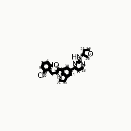 Oc1c(Cc2ccccc2Cl)n2c3c(cc(-c4ccnc(NC5CCOC5)n4)cc13)CC2